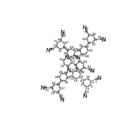 N#Cc1cc(C#N)cc(-c2ccc3c(c2)c2cc(-c4cc(C#N)cc(C#N)c4)ccc2n3-c2ccncc2-c2ccc(C#N)cc2-n2c3ccc(-c4cc(C#N)cc(C#N)c4)cc3c3cc(-c4cc(C#N)cc(C#N)c4)ccc32)c1